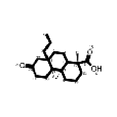 CCCC12CCC3[C@@](C)(CCC[C@@]3(C)C(=O)O)C1CCC(=O)C2